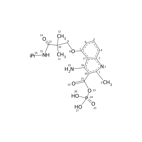 Cc1nc2cccc(OCC(C)(C)C(=O)NC(C)C)c2c(N)c1C(=O)OP(=O)(O)O